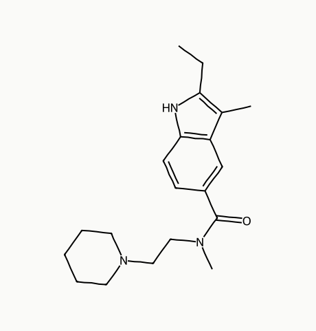 CCc1[nH]c2ccc(C(=O)N(C)CCN3CCCCC3)cc2c1C